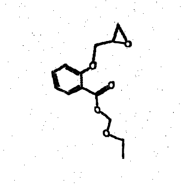 CCOCOC(=O)c1ccccc1OCC1CO1